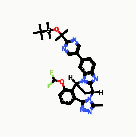 Cc1nnc2n1[C@@H]1C[C@H](c3c(OC(F)F)cccc3-2)n2c1nc1ccc(-c3cnc(C(C)(C)O[Si](C)(C)C(C)(C)C)nc3)cc12